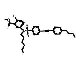 CCCCCCN(c1ccc(F)c(C(=O)OC)c1)S(=O)(=O)c1ccc(C#Cc2ccc(CCCC)cc2)cc1